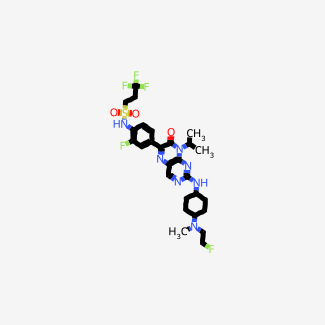 CC(C)n1c(=O)c(-c2ccc(NS(=O)(=O)CCC(F)(F)F)c(F)c2)nc2cnc(NC3CCC(N(C)CCF)CC3)nc21